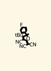 CC(C)(C)C1=C(C#N)C(=C(C#N)C#N)OC1(C)c1ccc(F)cc1